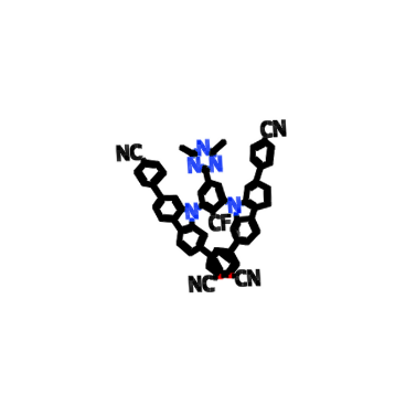 Cc1nc(C)nc(-c2cc(-n3c4cc(-c5ccc(C#N)cc5)ccc4c4ccc(-c5ccc(C#N)cc5)cc43)c(C(F)(F)F)c(-n3c4cc(-c5ccc(C#N)cc5)ccc4c4ccc(-c5ccc(C#N)cc5)cc43)c2)n1